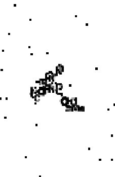 COc1ccc(CCC(=O)N[C@H](CN2CCCC2CN2CCCC2)[C@H](O)c2ccc3c(c2)OCCO3)cc1Cl